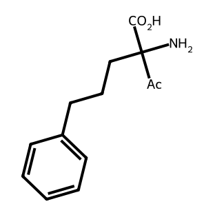 CC(=O)C(N)(CCCc1ccccc1)C(=O)O